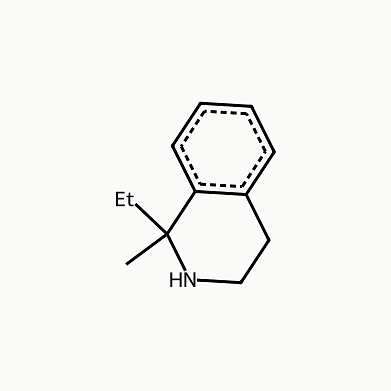 CCC1(C)NCCc2ccccc21